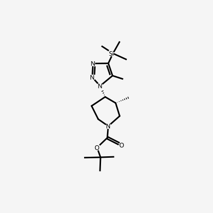 Cc1c([Si](C)(C)C)nnn1[C@H]1CCN(C(=O)OC(C)(C)C)C[C@H]1C